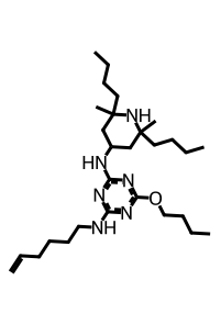 C=CCCCCNc1nc(NC2CC(C)(CCCC)NC(C)(CCCC)C2)nc(OCCCC)n1